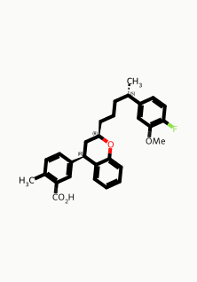 COc1cc([C@@H](C)CCC[C@@H]2C[C@H](c3ccc(C)c(C(=O)O)c3)c3ccccc3O2)ccc1F